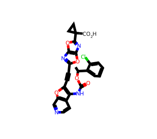 CC(OC(=O)Nc1c(C#Cc2nc3oc(C4(C(=O)O)CC4)nc3o2)oc2cnccc12)c1ccccc1Cl